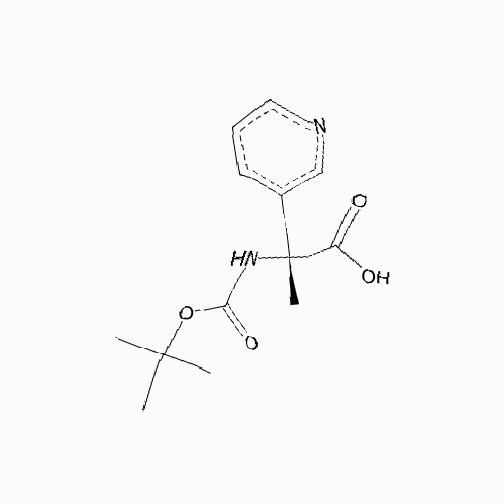 CC(C)(C)OC(=O)N[C@@](C)(C(=O)O)c1cccnc1